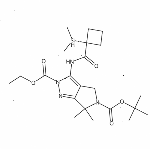 CCOC(=O)n1nc2c(c1NC(=O)C1([SiH](C)C)CCC1)CN(C(=O)OC(C)(C)C)C2(C)C